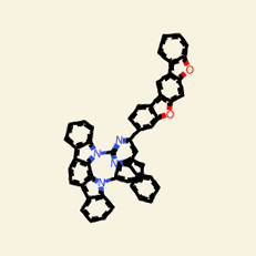 c1ccc(-c2cc(-c3ccc4c(c3)oc3cc5oc6ccccc6c5cc34)nc(-n3c4ccccc4c4ccc5c6ccccc6n(-c6ccccc6)c5c43)n2)cc1